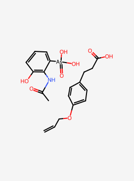 C=CCOc1ccc(CCC(=O)O)cc1.CC(=O)Nc1c(O)cccc1[As](=O)(O)O